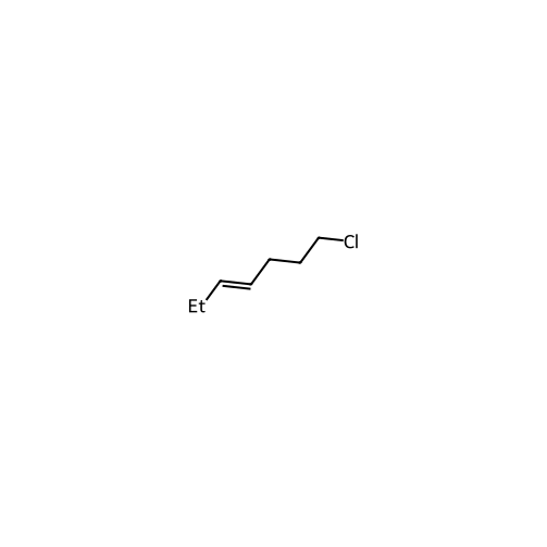 CC/C=C/CCCCl